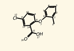 Cc1ccccc1Oc1ccc(Cl)cc1C(=O)O